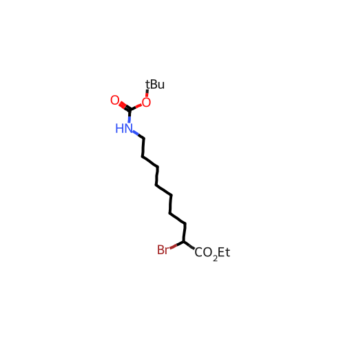 CCOC(=O)C(Br)CCCCCCCNC(=O)OC(C)(C)C